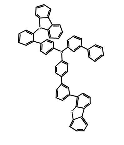 c1ccc(-c2cccc(N(c3ccc(-c4cccc(-c5cccc6c5oc5ccccc56)c4)cc3)c3ccc(-c4ccccc4-n4c5ccccc5c5ccccc54)cc3)c2)cc1